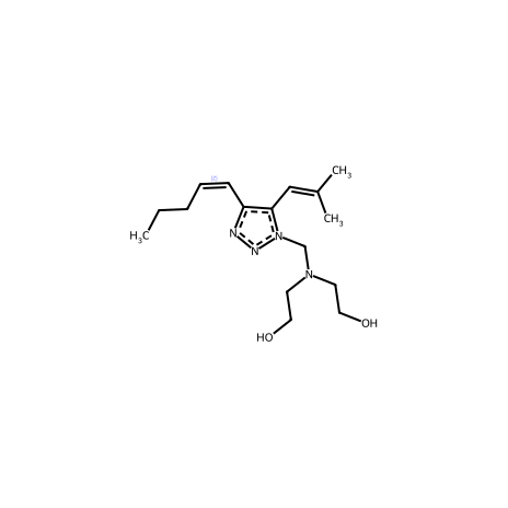 CCC/C=C\c1nnn(CN(CCO)CCO)c1C=C(C)C